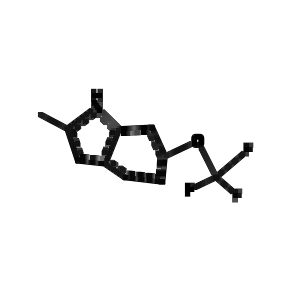 Cc1cc2ccc(OC(F)(F)F)cc2[nH]1